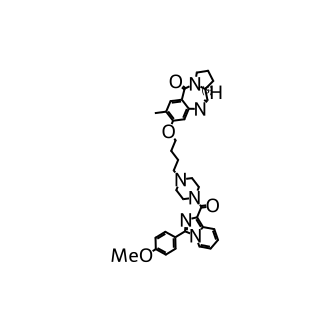 COc1ccc(-c2nc(C(=O)N3CCN(CCCCOc4cc5c(cc4C)C(=O)N4CCC[C@H]4C=N5)CC3)c3ccccn23)cc1